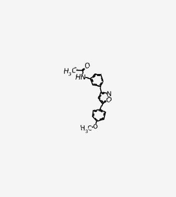 COc1ccc(-c2cc(-c3cccc(NC(C)=O)c3)no2)cc1